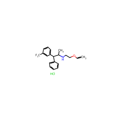 C=COCCNC(C)C(c1ccccc1)c1cccc(C(F)(F)F)c1.Cl